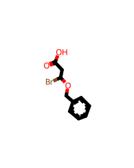 O=C(O)CC(Br)OCc1ccccc1